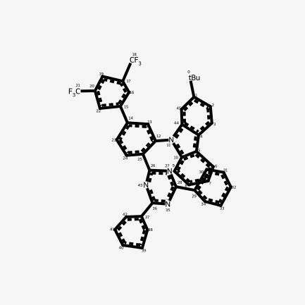 CC(C)(C)c1ccc2c3ccccc3n(-c3cc(-c4cc(C(F)(F)F)cc(C(F)(F)F)c4)ccc3-c3nc(-c4ccccc4)nc(-c4ccccc4)n3)c2c1